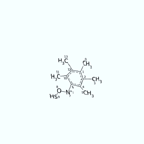 Cc1c(C)c(C)c([N+]OS)c(C)c1C